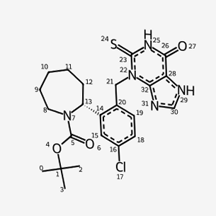 CC(C)(C)OC(=O)N1CCCCC[C@@H]1c1cc(Cl)ccc1Cn1c(=S)[nH]c(=O)c2[nH]cnc21